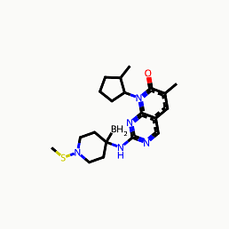 BC1(Nc2ncc3cc(C)c(=O)n(C4CCCC4C)c3n2)CCN(SC)CC1